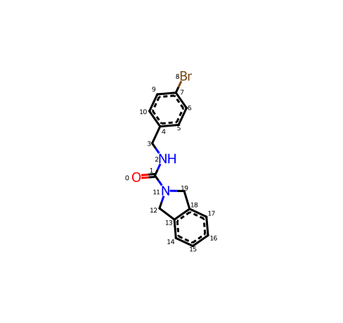 O=C(NCc1ccc(Br)cc1)N1Cc2ccccc2C1